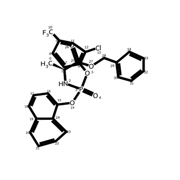 C[C@H](NP(=O)(Oc1ccc(C(F)(F)F)cc1Cl)Oc1cccc2ccccc12)C(=O)OCc1ccccc1